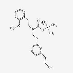 COc1ccccc1CCN(CCc1cccc(CCO)c1)C(=O)OC(C)(C)C